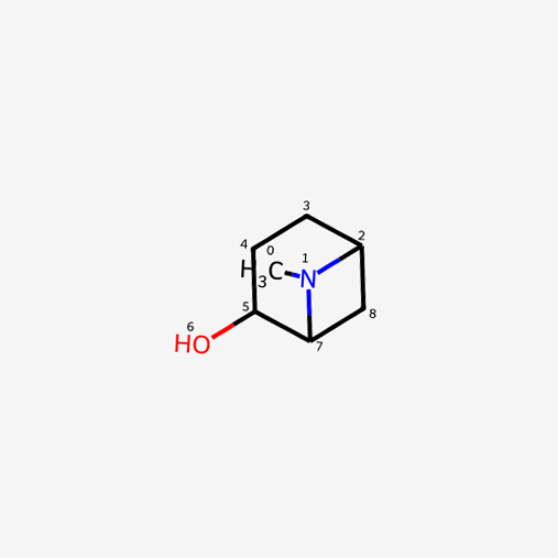 CN1C2CCC(O)C1C2